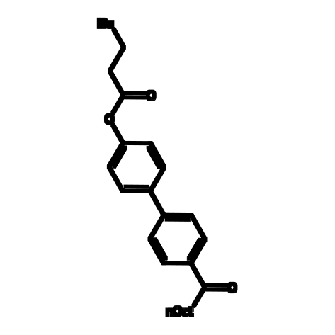 CCCCCCCCC(=O)c1ccc(-c2ccc(OC(=O)CCC(C)CC)cc2)cc1